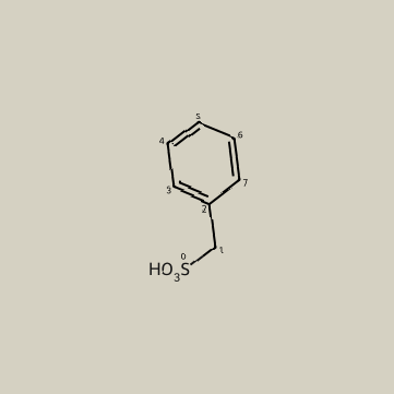 O=S(=O)(O)Cc1c[c]ccc1